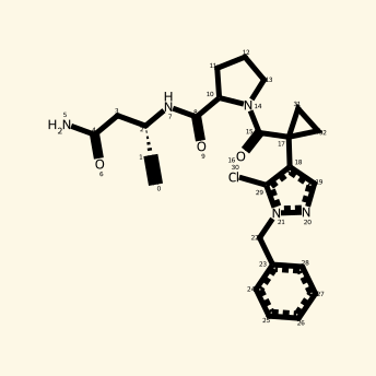 C#C[C@H](CC(N)=O)NC(=O)C1CCCN1C(=O)C1(c2cnn(Cc3ccccc3)c2Cl)CC1